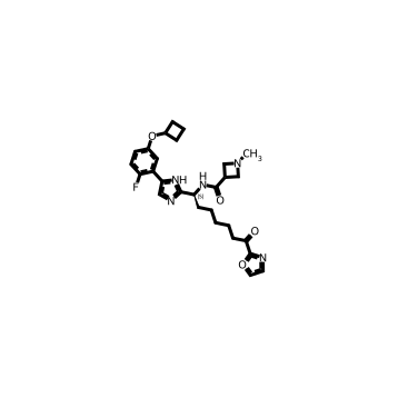 CN1CC(C(=O)N[C@@H](CCCCCC(=O)c2ncco2)c2ncc(-c3cc(OC4CCC4)ccc3F)[nH]2)C1